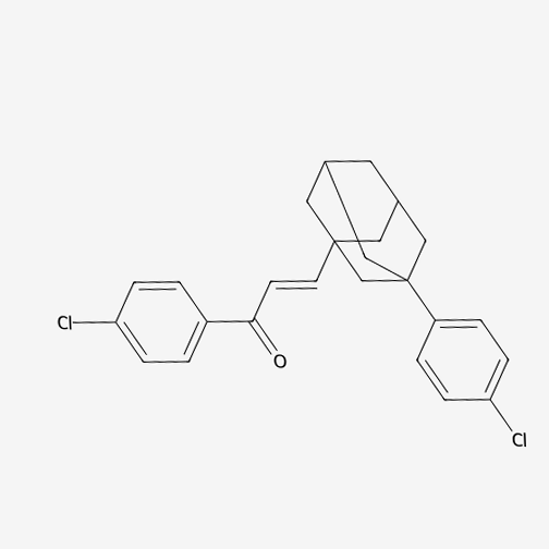 O=C(C=CC12CC3CC(C1)CC(c1ccc(Cl)cc1)(C3)C2)c1ccc(Cl)cc1